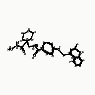 Cc1cc(COc2ccc(C(=O)NCC3(C(=O)NO)CCOCC3)cc2)c2ccccc2n1